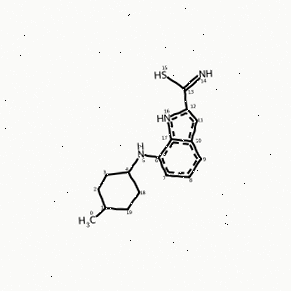 CC1CCC(Nc2cccc3cc(C(=N)S)[nH]c23)CC1